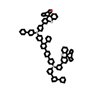 c1ccc(-c2ccc(N(c3ccc(-c4ccc5c(c4)Oc4ccccc4C54c5ccccc5-c5ccccc54)cc3)c3ccc(-c4ccc(-c5ccc(-c6ccc(N(c7cccc(-c8cccc(-c9ccccc9)c8)c7)c7cccc(-c8ccc9c(c8)Oc8ccccc8C98c9ccccc9-c9ccccc98)c7)cc6)cc5)cc4-c4ccccc4)cc3)cc2)cc1